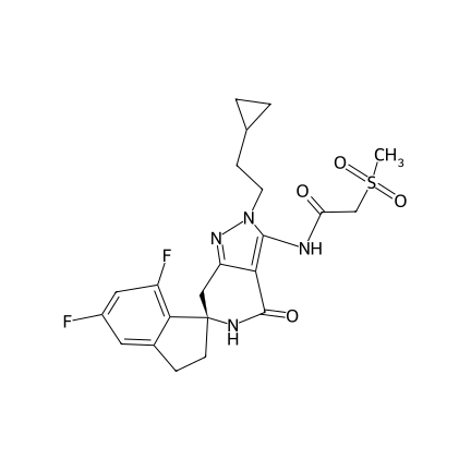 CS(=O)(=O)CC(=O)Nc1c2c(nn1CCC1CC1)C[C@]1(CCc3cc(F)cc(F)c31)NC2=O